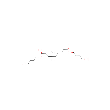 CC(=O)C(CCCCC(=O)OCCCCO)(CCC(=O)OCCCCO)C(C)=O